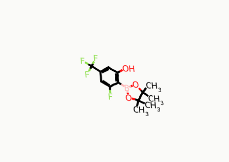 CC1(C)OB(c2c(O)cc(C(F)(F)F)cc2F)OC1(C)C